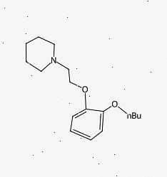 CCCCOc1ccccc1OCCN1CCCCC1